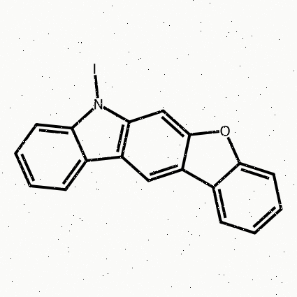 In1c2ccccc2c2cc3c(cc21)oc1ccccc13